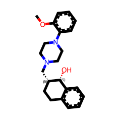 COc1ccccc1N1CCN(C[C@H]2CCc3ccccc3[C@H]2O)CC1